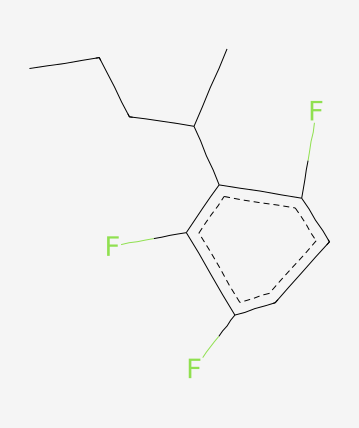 CCCC(C)c1c(F)ccc(F)c1F